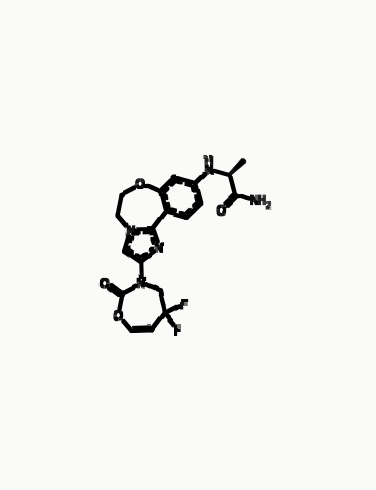 C[C@H](Nc1ccc2c(c1)OCCn1cc(N3CC(F)(F)C=COC3=O)nc1-2)C(N)=O